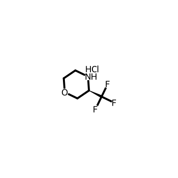 Cl.FC(F)(F)[C@H]1COCCN1